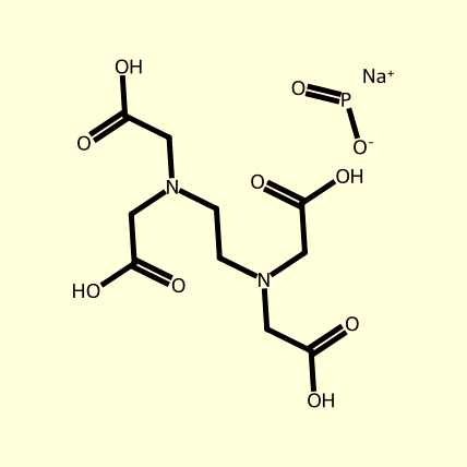 O=C(O)CN(CCN(CC(=O)O)CC(=O)O)CC(=O)O.O=P[O-].[Na+]